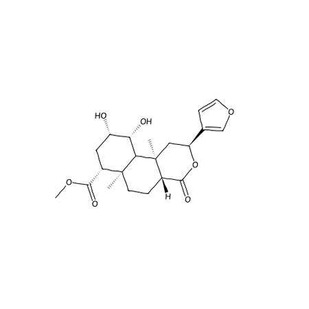 COC(=O)[C@@H]1C[C@H](O)[C@H](O)C2[C@@]1(C)CC[C@H]1C(=O)O[C@H](c3ccoc3)C[C@]21C